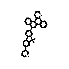 CC1(C)c2cc(-c3cccnc3)ccc2-c2ccc(-c3cc4c5ccccc5c5ncccc5c4c4ccccc34)cc21